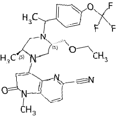 CCOC[C@@H]1CN(c2cc(=O)n(C)c3ccc(C#N)nc23)[C@@H](C)CN1C(C)c1ccc(OC(F)(F)F)cc1